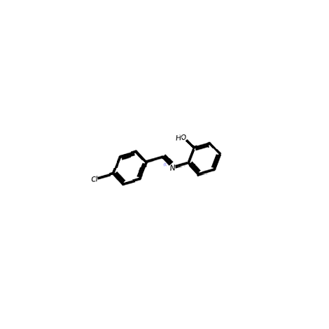 Oc1ccccc1/N=C/c1ccc(Cl)cc1